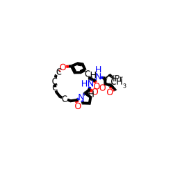 CC(C)C[C@H](NC(=O)[C@@H]1Cc2ccc(cc2)OCCCCCCCCC(=O)N2CCC[C@H]2C(=O)N1)C(=O)[C@@]1(C)CO1